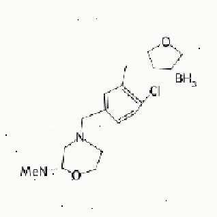 B.C1CCOC1.CN[C@@H]1CN(Cc2ccc(Cl)c(C)c2)CCO1